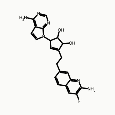 Nc1nc2cc(CCC3=CC(n4ccc5c(N)ncnc54)C(O)C3O)ccc2cc1F